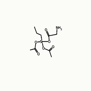 CCC[Si](OC(C)=O)(OC(C)=O)OC(=O)CN